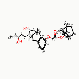 CCCCC[C@@H](O)CC[C@@H]1[C@H]2Cc3cccc(OCC(=O)O[C@@H]4C[C@H]5CC[C@@H]4C5(C)C)c3C[C@H]2C[C@H]1O